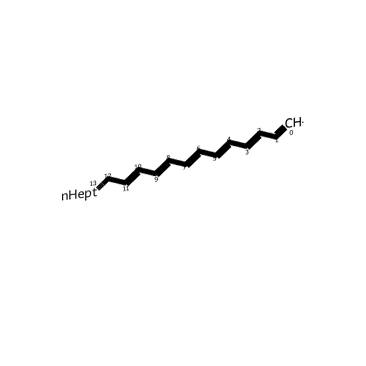 [CH]=CC=CC=CC=CC=CC=CCCCCCCCC